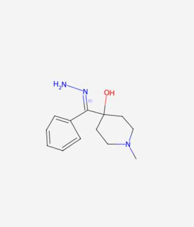 CN1CCC(O)(/C(=N/N)c2ccccc2)CC1